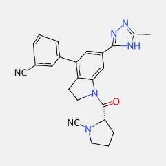 Cc1nnc(-c2cc(-c3cccc(C#N)c3)c3c(c2)N(C(=O)[C@@H]2CCCN2C#N)CC3)[nH]1